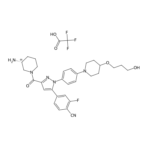 N#Cc1ccc(-c2cc(C(=O)N3CCC[C@@H](N)C3)nn2-c2ccc(N3CCC(OCCCO)CC3)cc2)cc1F.O=C(O)C(F)(F)F